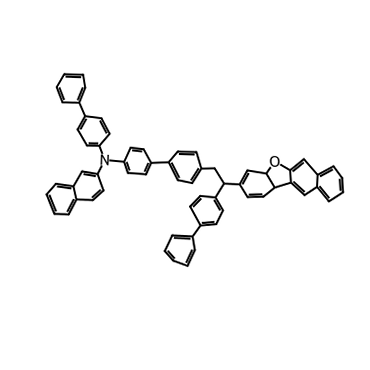 C1=CC2c3cc4ccccc4cc3OC2C=C1C(Cc1ccc(-c2ccc(N(c3ccc(-c4ccccc4)cc3)c3ccc4ccccc4c3)cc2)cc1)c1ccc(-c2ccccc2)cc1